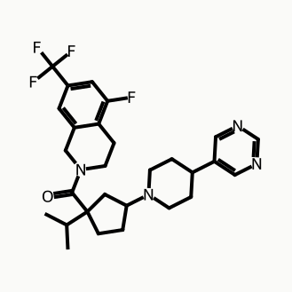 CC(C)C1(C(=O)N2CCc3c(F)cc(C(F)(F)F)cc3C2)CCC(N2CCC(c3cncnc3)CC2)C1